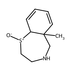 CC12C=CC=CC1[S+]([O-])CCNC2